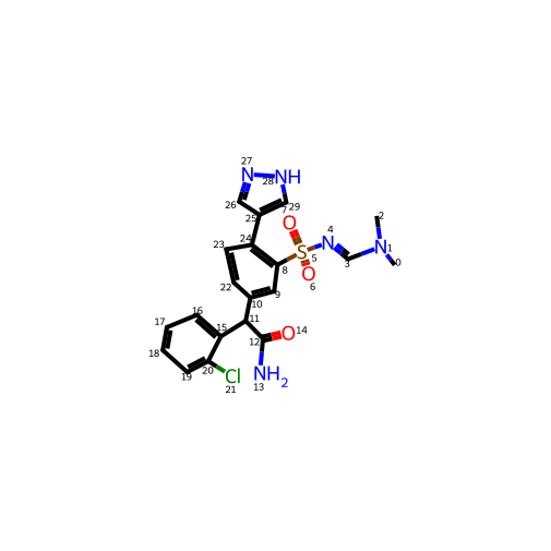 CN(C)C=NS(=O)(=O)c1cc(C(C(N)=O)c2ccccc2Cl)ccc1-c1cn[nH]c1